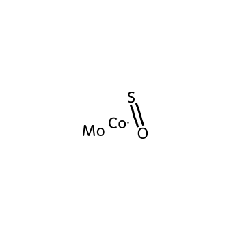 O=S.[Co].[Mo]